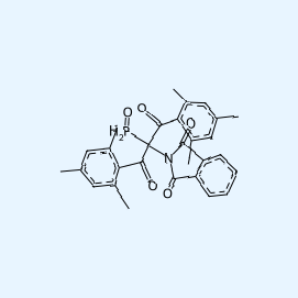 Cc1cc(C)c(C(=O)C([PH2]=O)(C(=O)c2c(C)cc(C)cc2C)N2C(=O)c3ccccc3C2=O)c(C)c1